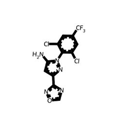 Nc1cc(-c2ncon2)nn1-c1c(Cl)cc(C(F)(F)F)cc1Cl